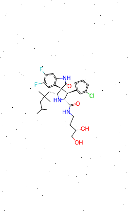 CC(C)CC(C)(C)C[C@H]1N[C@@H](C(=O)NCC[C@H](O)CO)[C@H](c2cccc(Cl)c2)[C@@]12C(=O)Nc1cc(F)c(F)cc12